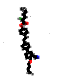 CCCCOc1ccc(-c2ccc(CC[C@H]3CC[C@H](OC(=O)[C@@H](F)CCCC)CC3)cc2)cc1C#N